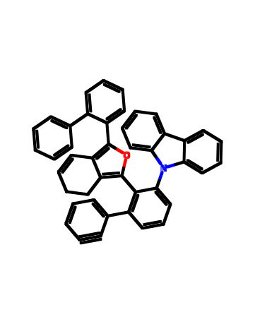 c1cccc(-c2cccc(-n3c4ccccc4c4ccccc43)c2-c2oc(-c3ccccc3-c3ccccc3)c3c2CCC=C3)c#1